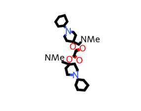 CNCC1(OC(=O)C(=O)OC2(CNC)CCN(C3CCCCC3)CC2)CCN(C2CCCCC2)CC1